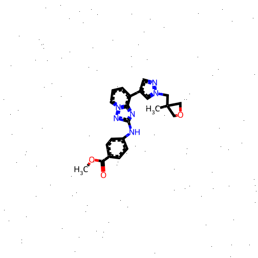 COC(=O)c1ccc(Nc2nc3c(-c4cnn(CC5(C)COC5)c4)cccn3n2)cc1